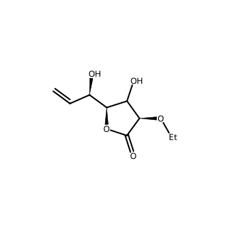 C=C[C@@H](O)[C@@H]1OC(=O)[C@H](OCC)C1O